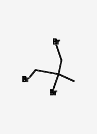 CC(Br)(CBr)CBr